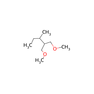 CCC(C)C(COC)COC